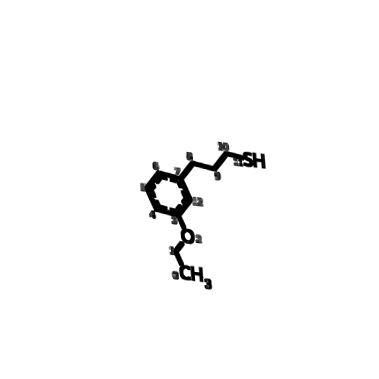 CCOc1cccc(CCCS)c1